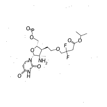 CC(C)OC(=O)CC(F)(F)COCC[C@@H]1[C@@H](COP=O)O[C@@H](n2ccc(=O)[nH]c2=O)[C@]1(C)N